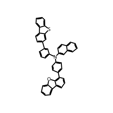 c1cc(-c2ccc3c(c2)sc2ccccc23)cc(N(c2ccc(-c3cccc4c3oc3ccccc34)cc2)c2ccc3ccccc3c2)c1